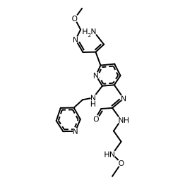 COC/N=C\C(=C/N)c1ccc(/N=C(\C=O)NCCNOC)c(NCc2cccnc2)n1